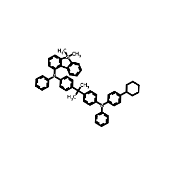 CC(C)(c1ccc(N(c2ccccc2)c2ccc(C3CCCCC3)cc2)cc1)c1ccc(N(c2ccccc2)c2cccc3c2-c2ccccc2[Si]3(C)C)cc1